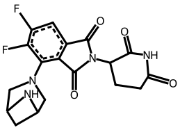 O=C1CCC(N2C(=O)c3cc(F)c(F)c(N4CC5CC(C4)N5)c3C2=O)C(=O)N1